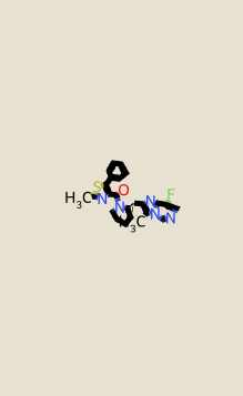 Cc1nc(C(=O)N2CCCC[C@H]2Cc2nc3c(F)cncn3c2C)c(-c2ccccc2)s1